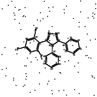 Fc1cc(F)c(-c2nnc(-c3ccccc3)n2-c2ccccc2)c(F)c1